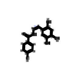 O=C(N/N=C\c1cc(O)c(O)cc1O)c1ccc(Cl)cc1